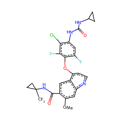 COc1cc2nccc(Oc3c(F)cc(NC(=O)NC4CC4)c(Cl)c3F)c2cc1C(=O)NC1(C(F)(F)F)CC1